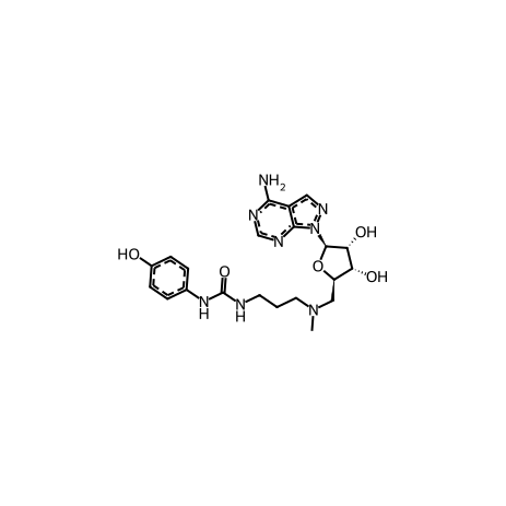 CN(CCCNC(=O)Nc1ccc(O)cc1)C[C@H]1O[C@@H](n2ncc3c(N)ncnc32)[C@H](O)[C@@H]1O